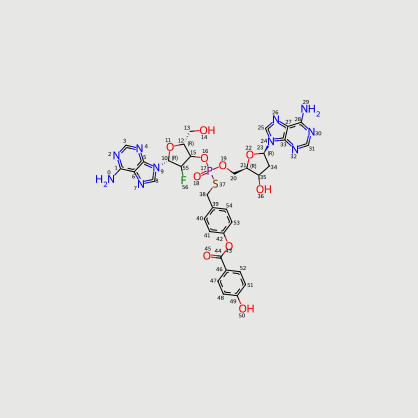 Nc1ncnc2c1ncn2[C@@H]1O[C@H](CO)C(OP(=O)(OC[C@H]2O[C@@H](n3cnc4c(N)ncnc43)CC2O)SCc2ccc(OC(=O)c3ccc(O)cc3)cc2)C1F